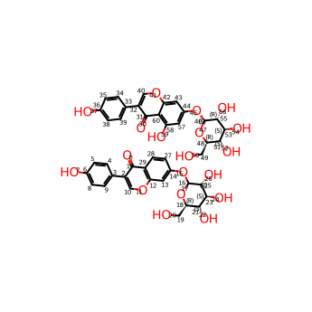 O=c1c(-c2ccc(O)cc2)coc2cc(OC3O[C@H](CO)[C@@H](O)[C@H](O)[C@H]3O)ccc12.O=c1c(-c2ccc(O)cc2)coc2cc(O[C@@H]3O[C@H](CO)[C@@H](O)[C@H](O)[C@H]3O)cc(O)c12